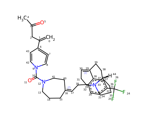 C=C(CC(C)=O)C1=C=CN(C(=O)N2CCC/C(=C/Cc3ccc(C(F)(F)F)cc3/C3=C\CCN4CCC[C@H]4CC3)CC2)C=C1